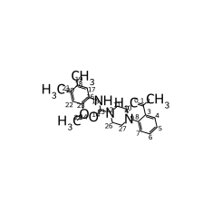 C=C(C)c1ccccc1N1CCN(C(=O)Nc2cc(C)c(C)cc2OC)CC1